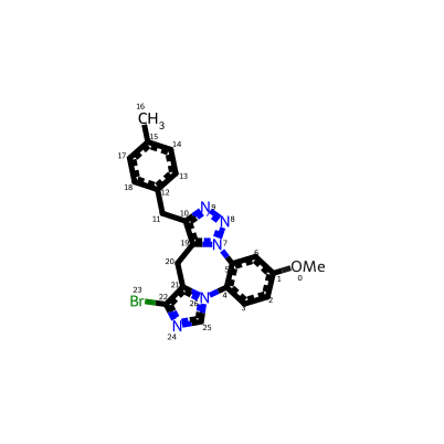 COc1ccc2c(c1)-n1nnc(Cc3ccc(C)cc3)c1Cc1c(Br)ncn1-2